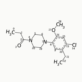 CCC(=O)N1CCN(c2cc(CC)c(Cl)cc2OC)CC1